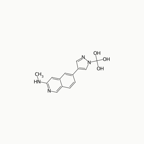 CNc1cc2cc(-c3cnn(C(O)(O)O)c3)ccc2cn1